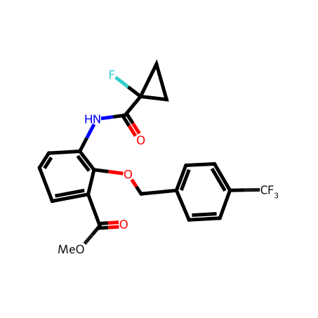 COC(=O)c1cccc(NC(=O)C2(F)CC2)c1OCc1ccc(C(F)(F)F)cc1